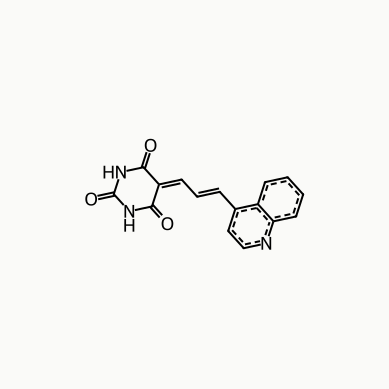 O=C1NC(=O)C(=CC=Cc2ccnc3ccccc23)C(=O)N1